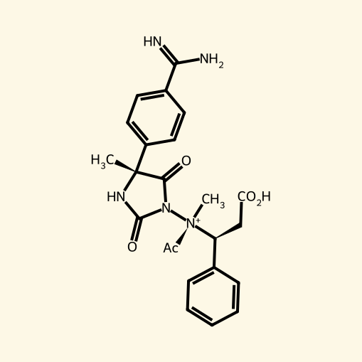 CC(=O)[N@@+](C)([C@@H](CC(=O)O)c1ccccc1)N1C(=O)N[C@](C)(c2ccc(C(=N)N)cc2)C1=O